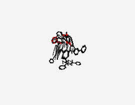 Cc1ccc2c(c1)c1cc(C)ccc1n2-c1c(-c2nc(-c3ccccc3)nc(-c3ccccc3)n2)cc(-c2nc(-c3ccccc3)nc(-c3ccccc3)n2)cc1-n1c2ccc(-c3ccccc3)cc2c2ccc(-c3cccc(-c4ccccc4)n3)cc21